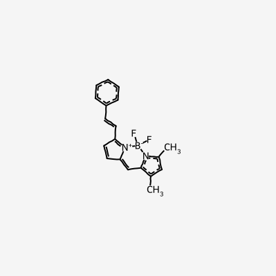 Cc1cc(C)n2c1C=C1C=CC(/C=C/c3ccccc3)=[N+]1[B-]2(F)F